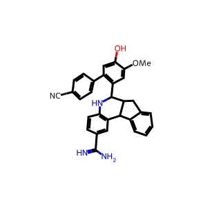 COc1cc(C2Nc3ccc(C(=N)N)cc3C3c4ccccc4CC23)c(-c2ccc(C#N)cc2)cc1O